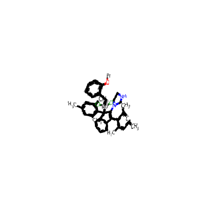 Cc1cc(C)c(C2=C(N3CCNC3)[C](c3c(C)cc(C)cc3C)([Ru]([Cl])([Cl])=[CH]c3ccccc3OC(C)C)c3ccccc32)c(C)c1